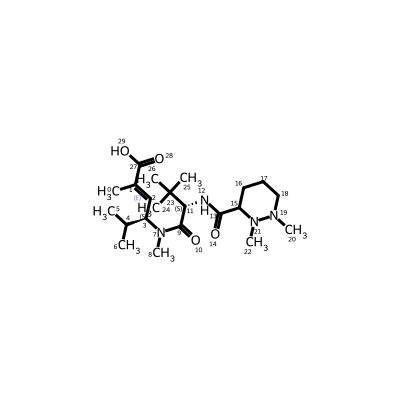 C/C(=C\[C@H](C(C)C)N(C)C(=O)[C@@H](NC(=O)C1CCCN(C)N1C)C(C)(C)C)C(=O)O